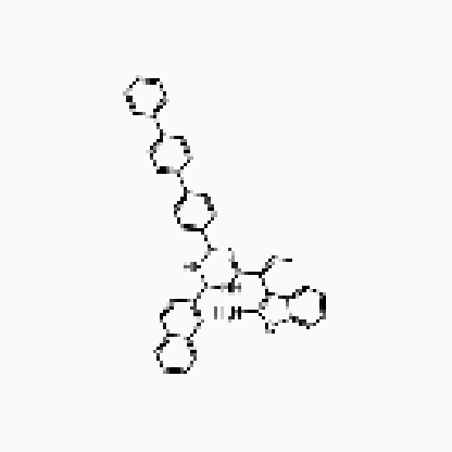 C/C=C(/C1=NC(c2ccc(-c3ccc(-c4ccccc4)cc3)cc2)NC(c2ccc3ccccc3c2)N1)c1c(N)oc2ccccc12